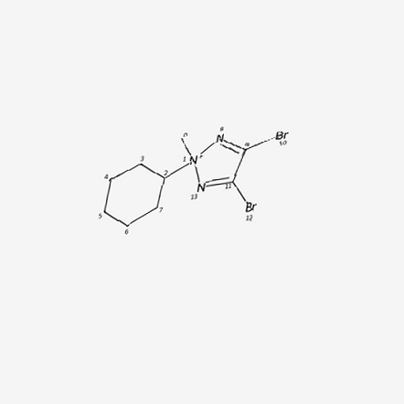 C[N+]1(C2CCCCC2)N=C(Br)C(Br)=N1